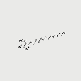 CCCCCCCCCCCCCCCC(CO)C(CO)CCO